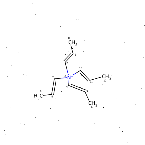 CC=C[N+](C=CC)(C=CC)C=CC